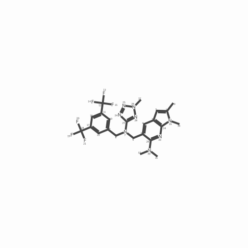 Cc1cc2cc(CN(Cc3cc(C(F)(F)F)cc(C(F)(F)F)c3)c3nnn(C)n3)c(N(C)C)nc2n1C